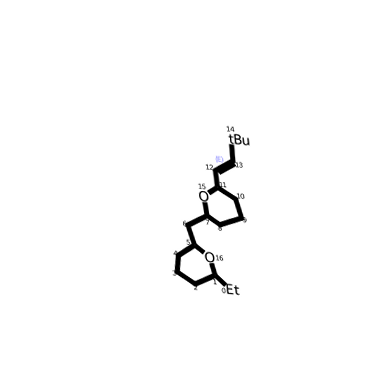 CCC1CCCC(CC2CCCC(/C=C/C(C)(C)C)O2)O1